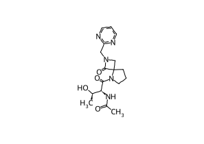 CC(=O)N[C@H](C(=O)N1CCCC12CN(Cc1ncccn1)C2=O)[C@@H](C)O